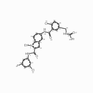 CCn1c(C(=O)Nc2cc(F)cc(Cl)c2)cc2cc(NC(=O)c3cc(CNC(=O)C(C)C)ccc3Cl)ccc21